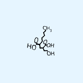 CCCCCCC(CC(CCO)C(=O)O)C(=O)O